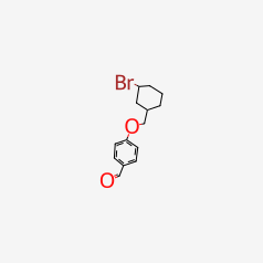 O=Cc1ccc(OCC2CCCC(Br)C2)cc1